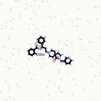 COc1ccccc1C(=O)NC(CCN1CCC2(CC1)CCN(Cc1cccnc1)C2=O)c1ccccc1